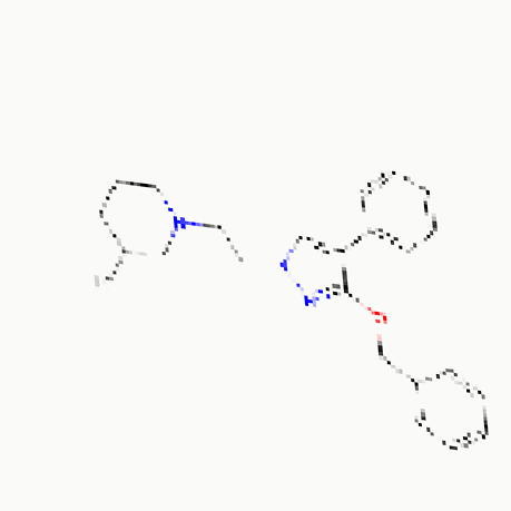 CC1CCCN(CCn2cc(-c3ccccc3)c(OCc3ccccc3)n2)C1